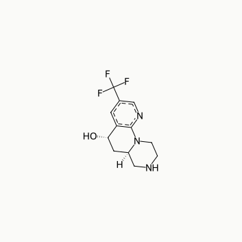 O[C@H]1C[C@@H]2CNCCN2c2ncc(C(F)(F)F)cc21